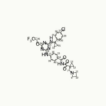 O=C(NS(=O)(=O)C1(CN2CCC2)CC1)c1ccc(Nc2nc(NC3(c4ccc(Cl)cc4)CC3)nc(OCC(F)(F)F)n2)cc1